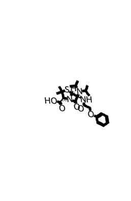 CC(C)N(C(C)C)[C@]1(NC(=O)COc2ccccc2)C(=O)N2[C@@H](C(=O)O)C(C)(C)S[C@@H]21